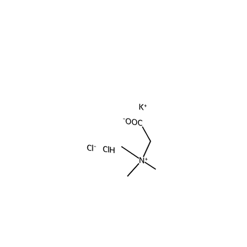 C[N+](C)(C)CC(=O)[O-].Cl.[Cl-].[K+]